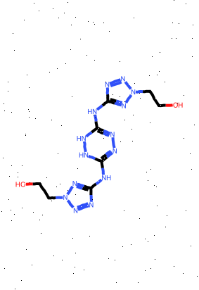 OCCn1nnc(NC2=NN=C(Nc3nnn(CCO)n3)NN2)n1